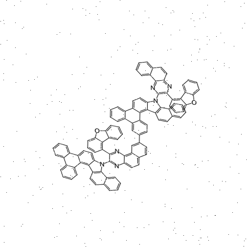 c1ccc2c(c1)ccc1nc(-c3cccc4oc5ccccc5c34)c(-n3c4ccc5c6ccccc6c6cc(-c7ccc8ccc9nc(-n%10c%11ccc%12c%13ccccc%13c%13ccccc%13c%12c%11c%11ccc%12ccccc%12c%11%10)c(-c%10cccc%11oc%12ccccc%12c%10%11)nc9c8c7)ccc6c5c4c4ccc5ccccc5c43)nc12